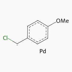 COc1ccc([CH]Cl)cc1.[Pd]